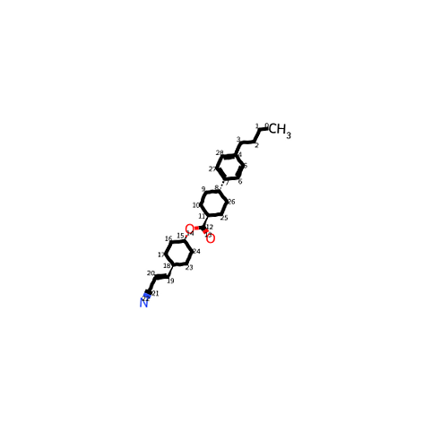 CCCCc1ccc([C@H]2CC[C@H](C(=O)O[C@H]3CC[C@H](C=CC#N)CC3)CC2)cc1